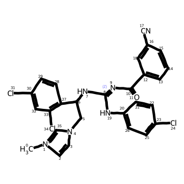 C[n+]1ccn(CC(N/C(=N/C(=O)c2cccc(C#N)c2)Nc2ccc(Cl)cc2)c2ccc(Cl)cc2Cl)c1